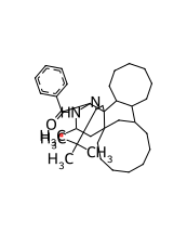 CC1CC23CCCCCCCC(C2)C2CCCCCCC2C32CC(C(C)(C)C)N(C(=O)c3ccccc3)C2N1